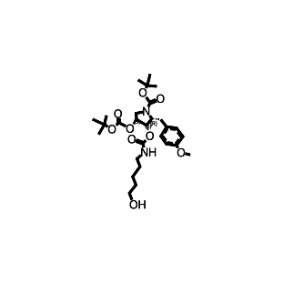 COc1ccc(C[C@@H]2[C@H](OC(=O)NCCCCCO)[C@@H](OC(=O)OC(C)(C)C)CN2C(=O)OC(C)(C)C)cc1